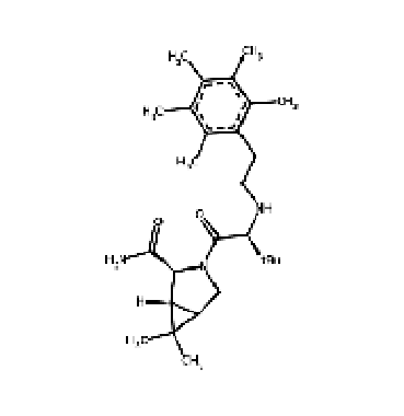 Cc1c(C)c(C)c(CCN[C@H](C(=O)N2CC3[C@@H]([C@H]2C(N)=O)C3(C)C)C(C)(C)C)c(C)c1C